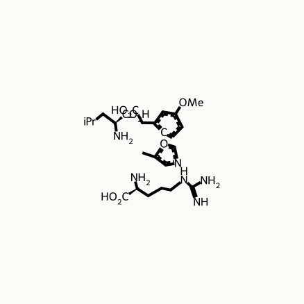 CC(C)C[C@H](N)C(=O)O.COc1cccc(CC(=O)O)c1.Cc1cnco1.N=C(N)NCCC[C@H](N)C(=O)O